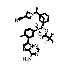 Cc1ccc(S(=O)(=O)N(OC(=O)C(F)(F)F)C23CCCC(C(C)N4CC(C#N)C4)(C2)C3)cc1-c1cnc2c(N)ncnn12